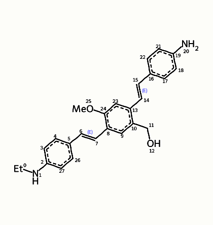 CCNc1ccc(/C=C/c2cc(CO)c(/C=C/c3ccc(N)cc3)cc2OC)cc1